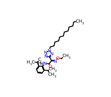 CCCCCCCCCCCCn1nnc(/C(=N\OCC)C(=O)Nc2c(C(C)C)cccc2C(C)C)n1